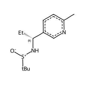 CC[C@@H](N[S+]([O-])C(C)(C)C)c1ccc(C)nc1